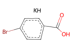 O=C(O)c1ccc(Br)cc1.[KH]